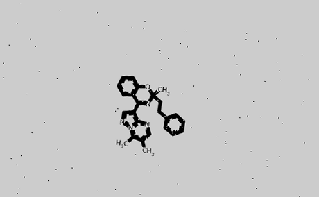 Cc1cnc2c(C3=NC(C)(CCc4ccccc4)Oc4ccccc43)cnn2c1C